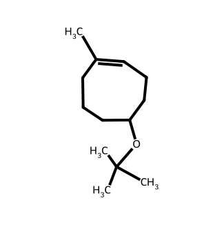 CC1=CCCC(OC(C)(C)C)CCC1